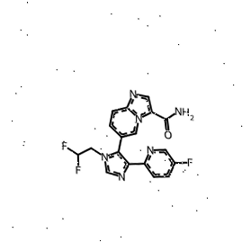 NC(=O)c1cnc2ccc(-c3c(-c4ccc(F)cn4)ncn3CC(F)F)cn12